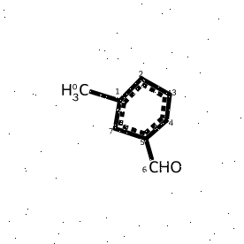 Cc1c[c]cc(C=O)c1